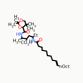 CCCCCCCCC=CCCCCCCCC(=O)NC(CC)CC(C(=O)O)C(C)NC(=O)C1OC(C)(C)OCC1(C)C